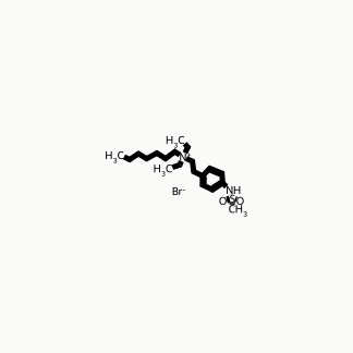 CCCCCCC[N+](CC)(CC)CCc1ccc(NS(C)(=O)=O)cc1.[Br-]